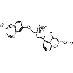 CCOC(=O)c1ccc(OCC(O)COc2cccc3oc(C(=O)[O-])cc(=O)c23)cc1OC.[Na+]